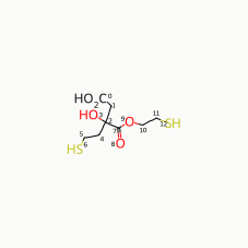 O=C(O)CC(O)(CCS)C(=O)OCCS